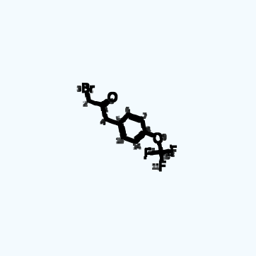 O=C(CBr)Cc1ccc(OC(F)(F)F)cc1